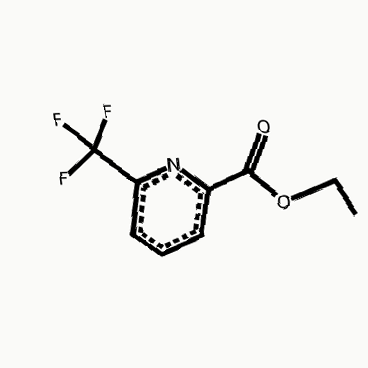 CCOC(=O)c1cccc(C(F)(F)F)n1